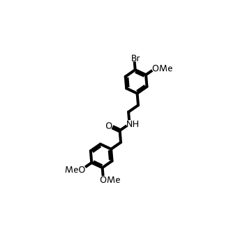 COc1cc(CCNC(=O)Cc2ccc(OC)c(OC)c2)ccc1Br